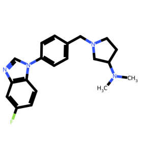 CN(C)C1CCN(Cc2ccc(-n3cnc4cc(F)ccc43)cc2)C1